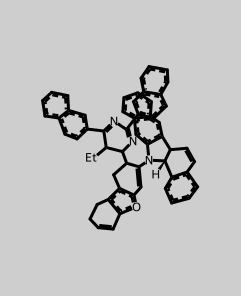 CCC1C(c2ccc3ccccc3c2)=NC(c2ccc3ccccc3c2)=NC1C1Cc2c(oc3c2CCC=C3)C=C1N1c2cc3ccccc3cc2C2C=Cc3ccccc3[C@@H]21